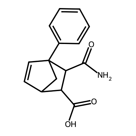 NC(=O)C1C(C(=O)O)C2C=CC1(c1ccccc1)C2